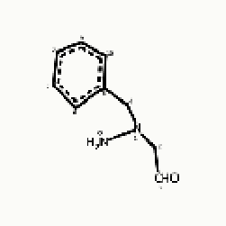 NN(CC=O)Cc1ccccc1